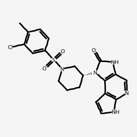 Cc1ccc(S(=O)(=O)N2CCC[C@@H](n3c(=O)[nH]c4cnc5[nH]ccc5c43)C2)cc1Cl